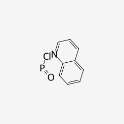 O=PCl.c1ccc2ncccc2c1